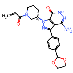 C=CC(=O)N1CCC[C@@H](n2nc(-c3ccc(C4OCCO4)cc3)c3c(N)n[nH]c(=O)c32)C1